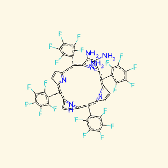 Nc1c(N)c2c(-c3c(F)c(F)c(F)c(F)c3F)c3nc(c(-c4c(F)c(F)c(F)c(F)c4F)c4ccc([nH]4)c(-c4c(F)c(F)c(F)c(F)c4F)c4nc(c(-c5c(F)c(F)c(F)c(F)c5F)c1n2N)C=C4)C=C3